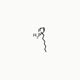 CCCCCCCC1(P)C=CC=P1